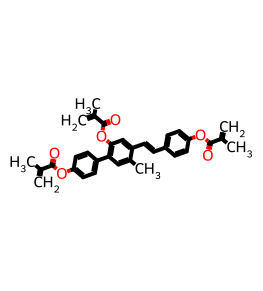 C=C(C)C(=O)Oc1ccc(/C=C/c2cc(OC(=O)C(=C)C)c(-c3ccc(OC(=O)C(=C)C)cc3)cc2C)cc1